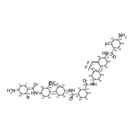 Nc1ccc(C(=O)Nc2ccc(-c3ccc(NC(=O)c4cccc(C(=O)Nc5ccc(-c6ccc(NC(=O)c7ccc(N)cc7F)cc6C(F)(F)F)c(C(F)(F)F)c5)c4)cc3C(F)(F)F)c(C(F)(F)F)c2)c(F)c1